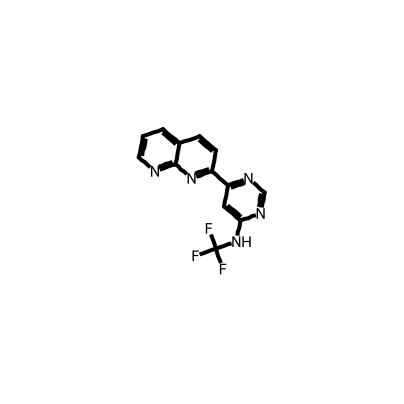 FC(F)(F)Nc1cc(-c2ccc3cccnc3n2)ncn1